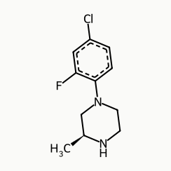 C[C@H]1CN(c2ccc(Cl)cc2F)CCN1